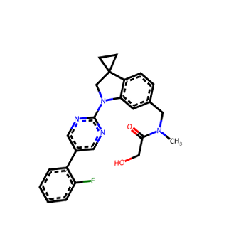 CN(Cc1ccc2c(c1)N(c1ncc(-c3ccccc3F)cn1)CC21CC1)C(=O)CO